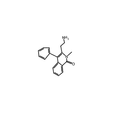 Cn1c(CCN)c(-c2ccccc2)c2ccccc2c1=O